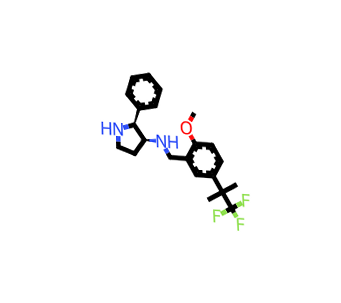 COc1ccc(C(C)(C)C(F)(F)F)cc1CN[C@H]1CCN[C@H]1c1ccccc1